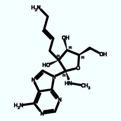 CN[C@@]1(n2cnc3c(N)ncnc32)O[C@H](CO)[C@@H](O)[C@]1(O)CC=CCN